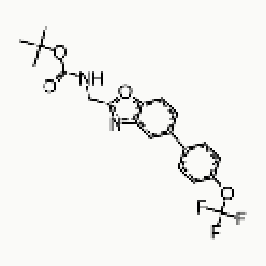 CC(C)(C)OC(=O)NCc1nc2cc(-c3ccc(OC(F)(F)F)cc3)ccc2o1